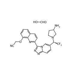 N#CCOc1cccc2ccc(-c3nnc4ccc([C@@H](N5CCC(N)C5)C(F)(F)F)cn34)nc12.O=CO